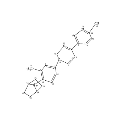 Cc1cc(N2C=CC(c3ccc(C#N)nc3)=NC2)ccc1N1C2CCC1CC2